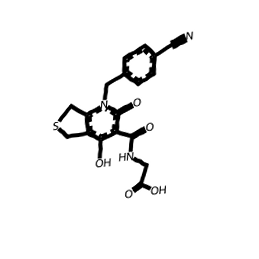 N#Cc1ccc(Cn2c3c(c(O)c(C(=O)NCC(=O)O)c2=O)CSC3)cc1